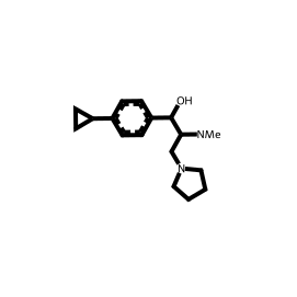 CNC(CN1CCCC1)C(O)c1ccc(C2CC2)cc1